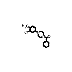 Cc1ccc(N2CCN(C(=O)c3ccccc3)CC2)cc1Cl